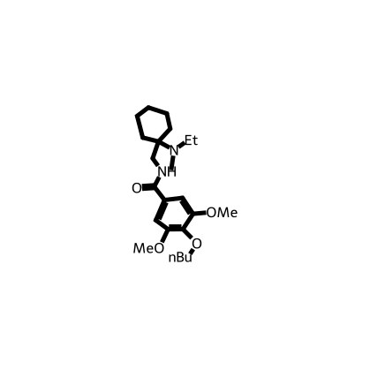 CCCCOc1c(OC)cc(C(=O)NCC2(N(C)CC)CCCCC2)cc1OC